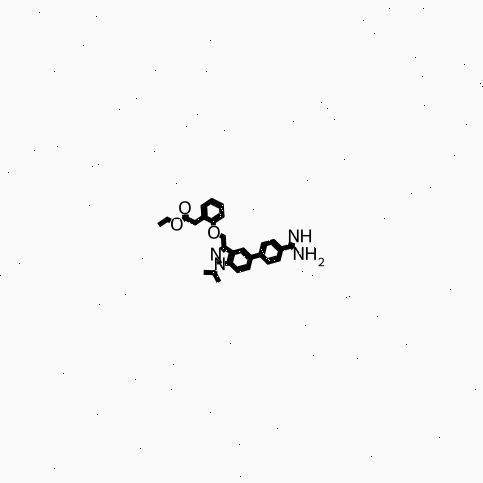 CCOC(=O)Cc1ccccc1OCc1nn(C(C)C)c2ccc(-c3ccc(C(=N)N)cc3)cc12